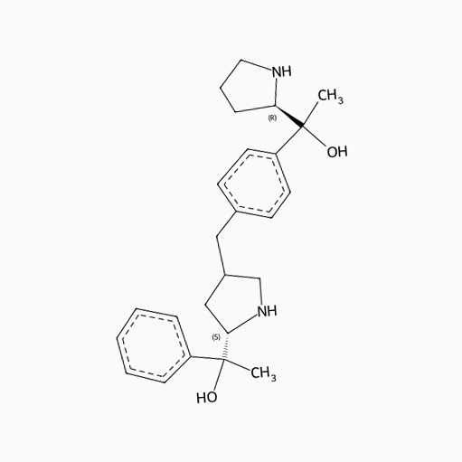 CC(O)(c1ccccc1)[C@@H]1CC(Cc2ccc(C(C)(O)[C@H]3CCCN3)cc2)CN1